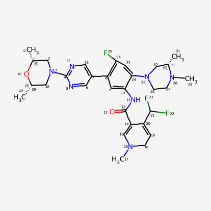 C[C@@H]1CN(c2ncc(-c3cc(NC(=O)C4=CN(C)CC=C4C(F)F)c(N4CCN(C)[C@@H](C)C4)cc3F)cn2)C[C@H](C)O1